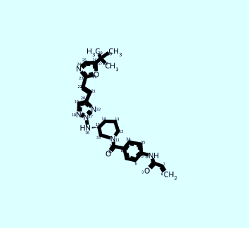 C=CC(=O)Nc1ccc(C(=O)N2CCC[C@@H](Nn3ncc(/C=C/c4ncc(C(C)(C)C)o4)n3)C2)cc1